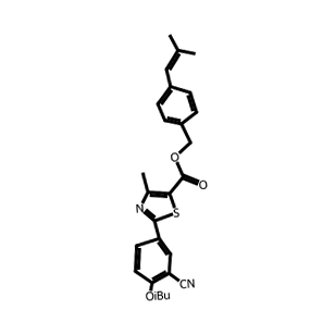 CC(C)=Cc1ccc(COC(=O)c2sc(-c3ccc(OCC(C)C)c(C#N)c3)nc2C)cc1